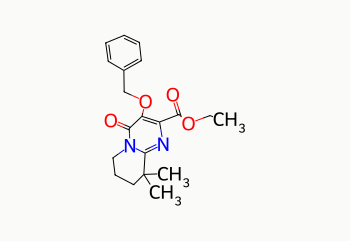 CCOC(=O)c1nc2n(c(=O)c1OCc1ccccc1)CCCC2(C)C